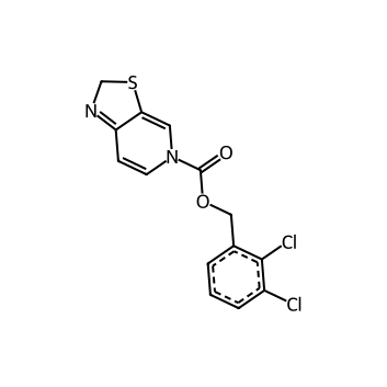 O=C(OCc1cccc(Cl)c1Cl)N1C=CC2=NCSC2=C1